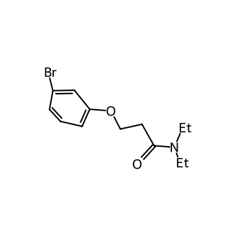 CCN(CC)C(=O)CCOc1cccc(Br)c1